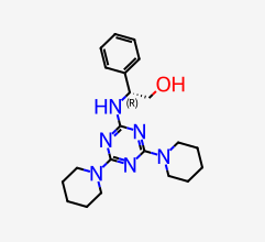 OC[C@H](Nc1nc(N2CCCCC2)nc(N2CCCCC2)n1)c1ccccc1